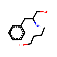 CCCCO.NC(CO)Cc1ccccc1